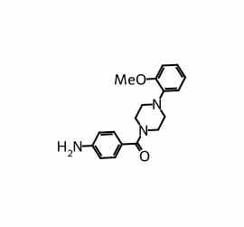 COc1ccccc1N1CCN(C(=O)c2ccc(N)cc2)CC1